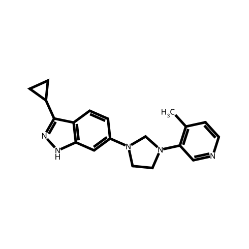 Cc1ccncc1N1CCN(c2ccc3c(C4CC4)n[nH]c3c2)C1